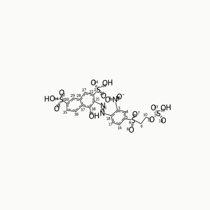 O=[N+]([O-])c1cc(S(=O)(=O)CCOS(=O)(=O)O)ccc1N=Nc1c(S(=O)(=O)O)cc2cc(S(=O)(=O)O)ccc2c1O